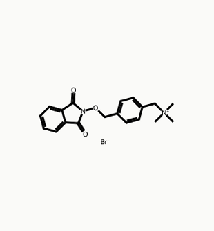 C[N+](C)(C)Cc1ccc(CON2C(=O)c3ccccc3C2=O)cc1.[Br-]